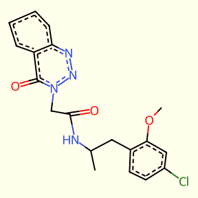 COc1cc(Cl)ccc1CC(C)NC(=O)Cn1nnc2ccccc2c1=O